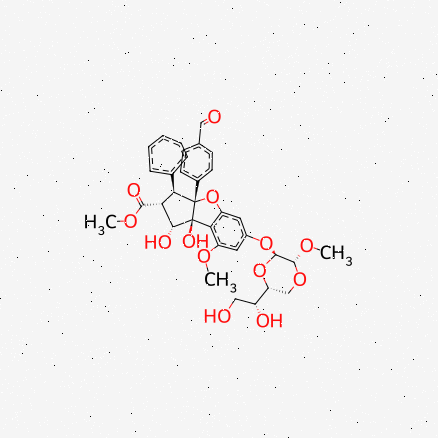 COC(=O)[C@H]1[C@@H](O)[C@@]2(O)c3c(OC)cc(O[C@@H]4O[C@@H]([C@H](O)CO)CO[C@H]4OC)cc3O[C@@]2(c2ccc(C=O)cc2)[C@@H]1c1ccccc1